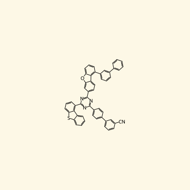 N#Cc1cccc(-c2ccc(-c3nc(-c4ccc5c(c4)oc4cccc(-c6cccc(-c7ccccc7)c6)c45)nc(-c4cccc5sc6ccccc6c45)n3)cc2)c1